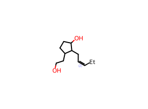 CC/C=C\CC1C(O)CCC1CCO